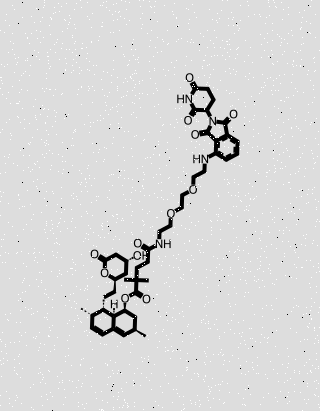 C[C@H]1C=C2C=C[C@H](C)[C@H](CC[C@@H]3C[C@@H](O)CC(=O)O3)[C@H]2[C@@H](OC(=O)C(C)(C)CCC(=O)NCCOCCOCCNc2cccc3c2C(=O)N(C2CCC(=O)NC2=O)C3=O)C1